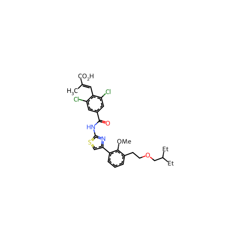 CCC(CC)COCCc1cccc(-c2csc(NC(=O)c3cc(Cl)c(/C=C(\C)C(=O)O)c(Cl)c3)n2)c1OC